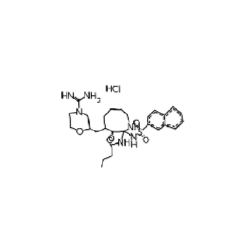 CCCC(=O)NC1(NS(=O)(=O)c2ccc3ccccc3c2)NCCCCC(C[C@@H]2CN(C(=N)N)CCO2)C1=O.Cl